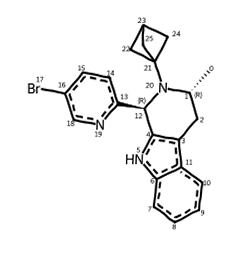 C[C@@H]1Cc2c([nH]c3ccccc23)[C@@H](c2ccc(Br)cn2)N1C12CC(C1)C2